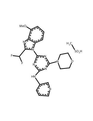 COc1cccc2c1nc(C(F)F)n2-c1nc(Nc2cccnc2)nc(N2CCOCC2)n1.CS(=O)(=O)O